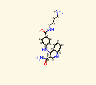 NCCCCNC(=O)c1ccc(Nc2c(C(N)=O)cnc3ccccc23)cc1